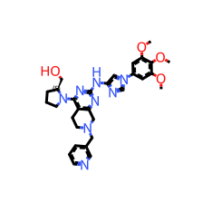 COc1cc(-n2cnc(Nc3nc4c(c(N5CCC[C@H]5CO)n3)CCN(Cc3cccnc3)C4)c2)cc(OC)c1OC